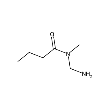 CCCC(=O)N(C)CN